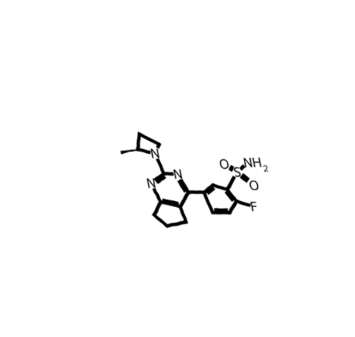 C[C@H]1CCN1c1nc2c(c(-c3ccc(F)c(S(N)(=O)=O)c3)n1)CCC2